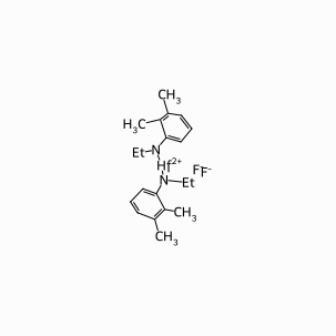 CC[N]([Hf+2][N](CC)c1cccc(C)c1C)c1cccc(C)c1C.[F-].[F-]